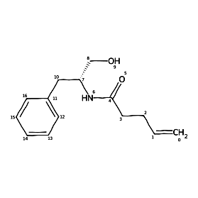 C=CCCC(=O)N[C@@H](CO)Cc1ccccc1